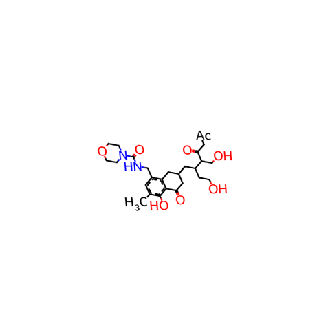 CC(=O)CC(=O)C(CO)C(CCO)CC1CC(=O)c2c(O)c(C)cc(CNC(=O)N3CCOCC3)c2C1